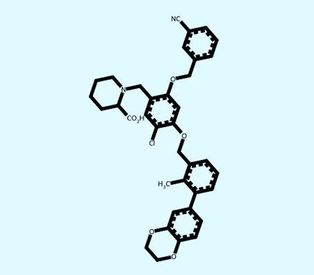 Cc1c(COc2cc(OCc3cccc(C#N)c3)c(CN3CCCCC3C(=O)O)cc2Cl)cccc1-c1ccc2c(c1)OCCO2